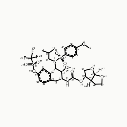 COc1ccc(S(=O)(=O)N(CC(C)C)C[C@@H](O)[C@H](Cc2ccc(OS(=O)(=O)C(F)(F)F)cc2)NC(=O)O[C@H]2CO[C@H]3OCC[C@H]32)cc1